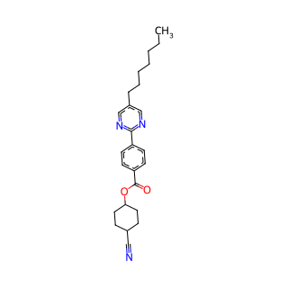 CCCCCCCc1cnc(-c2ccc(C(=O)OC3CCC(C#N)CC3)cc2)nc1